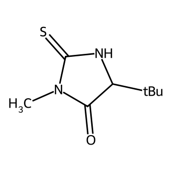 CN1C(=O)C(C(C)(C)C)NC1=S